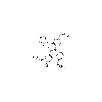 COc1cc(C2Nc3ccc(CN)cc3C3c4ccccc4CC23)c(-c2ccccc2SC)cc1O